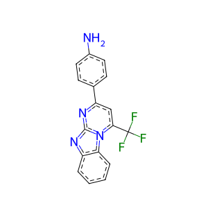 Nc1ccc(-c2cc(C(F)(F)F)n3c(n2)nc2ccccc23)cc1